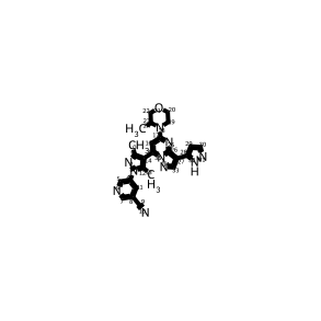 Cc1nn(-c2cncc(C#N)c2)c(C)c1-c1cc(N2CCOCC2C)nc2c(-c3ccn[nH]3)cnn12